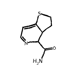 NC(=O)C1N=CC=C2SCCC21